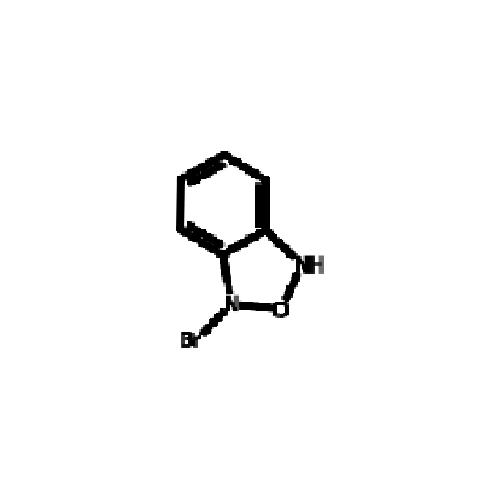 BrN1ONc2ccccc21